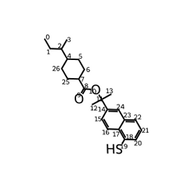 CCC(C)C1CCC(C(=O)OC(C)(C)c2ccc3c(S)cccc3c2)CC1